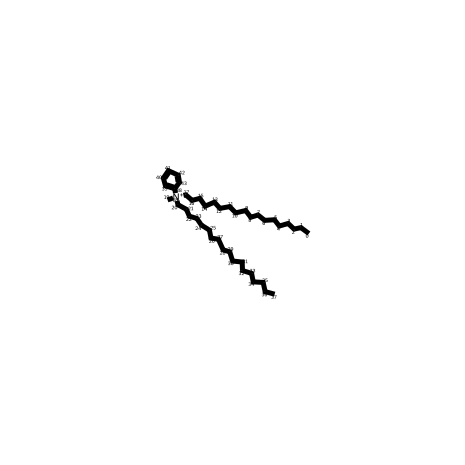 CCCCCCCCCCCCCCCCCC[N+](C)(CCCCCCCCCCCCCCCCCC)c1ccccc1